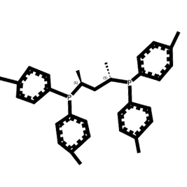 Cc1ccc(P(c2ccc(C)cc2)[C@@H](C)C[C@H](C)P(c2ccc(C)cc2)c2ccc(C)cc2)cc1